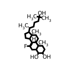 C[C@H](CCCC(C)(C)O)C1CCC2C3=C(F)CC4C(O)C(O)CC[C@]4(C)[C@H]3CC[C@@]21C